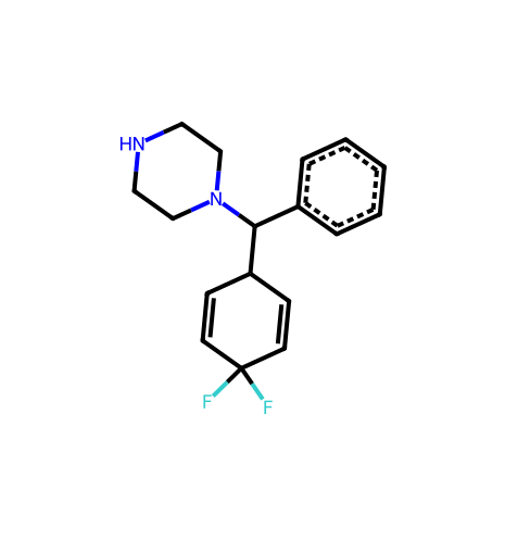 FC1(F)C=CC(C(c2ccccc2)N2CCNCC2)C=C1